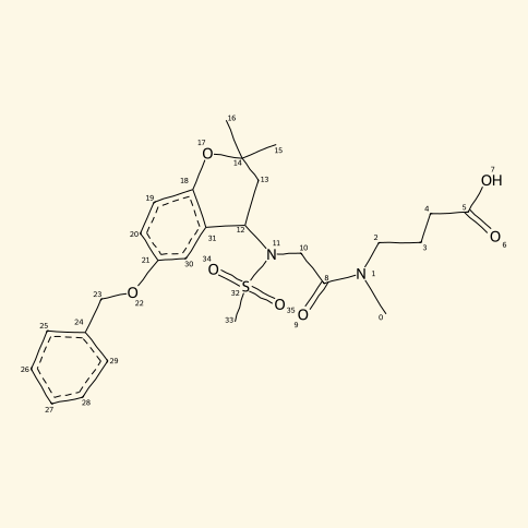 CN(CCCC(=O)O)C(=O)CN(C1CC(C)(C)Oc2ccc(OCc3ccccc3)cc21)S(C)(=O)=O